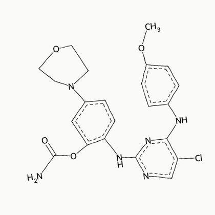 COc1ccc(Nc2nc(Nc3ccc(N4CCOCC4)cc3OC(N)=O)ncc2Cl)cc1